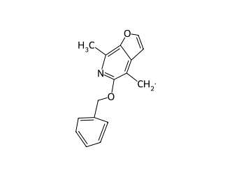 [CH2]c1c(OCc2ccccc2)nc(C)c2occc12